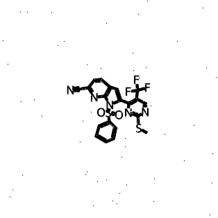 CSc1ncc(C(F)(F)F)c(-c2cc3ccc(C#N)nc3n2S(=O)(=O)c2ccccc2)n1